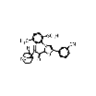 Cc1ccc(S(=O)(=O)O)c(N2C=C(c3cccc(C#N)c3)OC2C(=O)N[C@H]2CN3CCC2CC3)c1